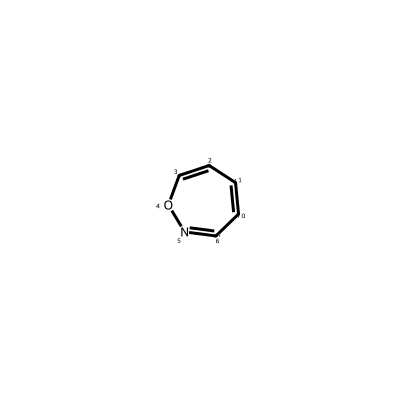 [C]1=[C]C=CON=[C]1